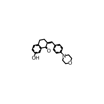 O=C1C(=Cc2ccc(N3CCOCC3)cc2)CCc2ccc(O)cc21